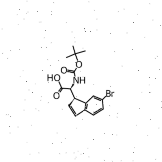 CC(C)(C)OC(=O)N[C@H](C(=O)O)[C@@H]1C=Cc2ccc(Br)cc21